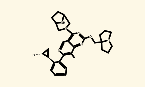 Fc1c(-c2ccccc2[C@@H]2C[C@H]2F)ncc2c(N3CC4CCC(C3)N4)nc(OCC34CCCN3CCC4)nc12